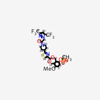 COc1ccc(OS(C)(=O)=O)c2c1COC(c1csc(C3CCN(C(=O)Cn4nc(C(F)(F)F)cc4C(F)(F)F)CC3)n1)OC2